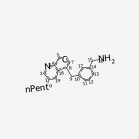 CCCCCc1cnc2cccc(Cc3cccc(CN)c3)c2c1